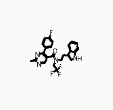 Cc1ncc(C(=O)N(CCc2c[nH]c3ccccc23)CC(F)(F)F)c(-c2ccc(F)cc2)n1